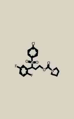 O=C(OCCC(c1cc(F)ccc1F)S(=O)(=O)c1ccc(Cl)cc1)N1CCCC1